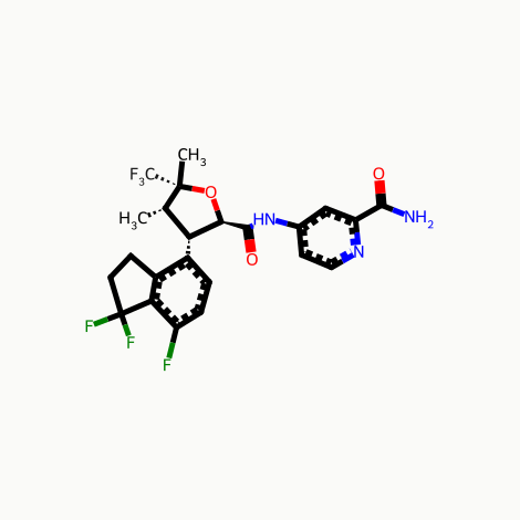 C[C@H]1[C@@H](c2ccc(F)c3c2CCC3(F)F)[C@H](C(=O)Nc2ccnc(C(N)=O)c2)O[C@@]1(C)C(F)(F)F